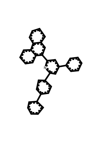 c1ccc(-c2ccc(-c3cc(-c4ccccc4)cc(-c4cc5ccccc5c5ccccc45)n3)cc2)cc1